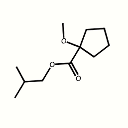 COC1(C(=O)OCC(C)C)CCCC1